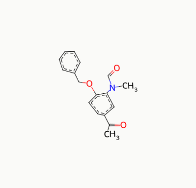 CC(=O)c1ccc(OCc2ccccc2)c(N(C)C=O)c1